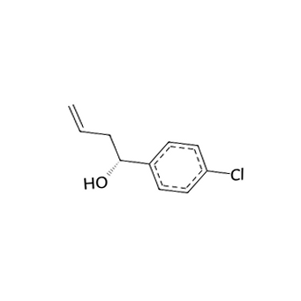 C=CC[C@@H](O)c1ccc(Cl)cc1